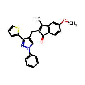 COc1ccc2c(c1)C(C)=C(Cc1cn(-c3ccccc3)nc1-c1cccs1)C2=O